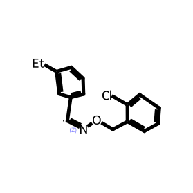 CCc1cccc(/[C]=N\OCc2ccccc2Cl)c1